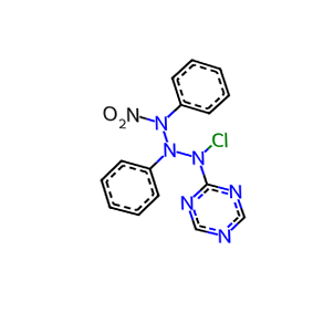 O=[N+]([O-])N(c1ccccc1)N(c1ccccc1)N(Cl)c1ncncn1